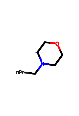 CCCCN1[CH]COCC1